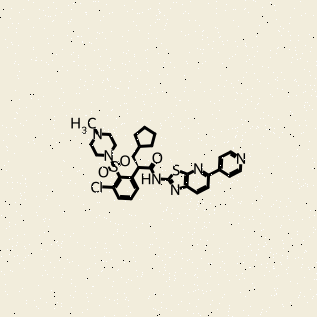 CN1CCN(S(=O)(=O)c2c(Cl)cccc2[C@@H](CC2CCCC2)C(=O)Nc2nc3ccc(-c4ccncc4)nc3s2)CC1